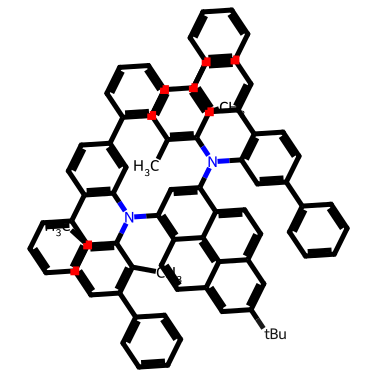 Cc1ccc(-c2ccccc2)c(C)c1N(c1cc(-c2ccccc2)ccc1-c1ccccc1)c1cc(N(c2cc(-c3ccccc3)ccc2-c2ccccc2)c2c(C)ccc(-c3ccccc3)c2C)c2ccc3cc(C(C)(C)C)cc4ccc1c2c43